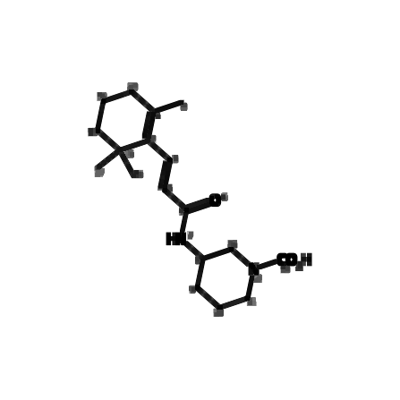 CC1=C(C=CC(=O)NC2CCCN(C(=O)O)C2)C(C)(C)CCC1